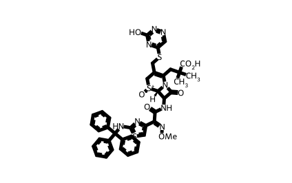 CON=C(C(=O)NC1C(=O)N2C(CC(C)(C)C(=O)O)=C(CSc3cnnc(O)n3)C[S+]([O-])[C@@H]12)c1csc(NC(c2ccccc2)(c2ccccc2)c2ccccc2)n1